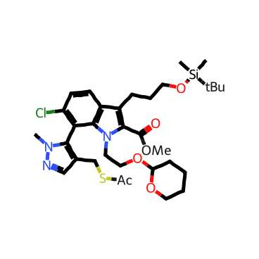 COC(=O)c1c(CCCO[Si](C)(C)C(C)(C)C)c2ccc(Cl)c(-c3c(CSC(C)=O)cnn3C)c2n1CCOC1CCCCO1